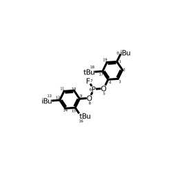 CCC(C)c1ccc(OP(F)Oc2ccc(C(C)CC)cc2C(C)(C)C)c(C(C)(C)C)c1